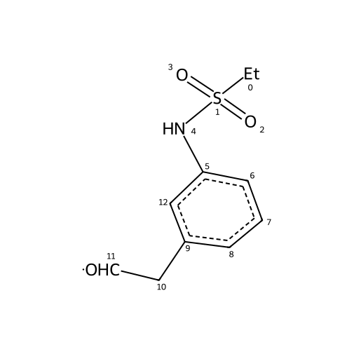 CCS(=O)(=O)Nc1cccc(C[C]=O)c1